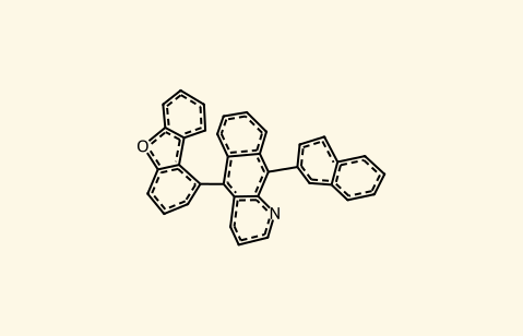 c1ccc2cc(-c3c4ccccc4c(-c4cccc5oc6ccccc6c45)c4cccnc34)ccc2c1